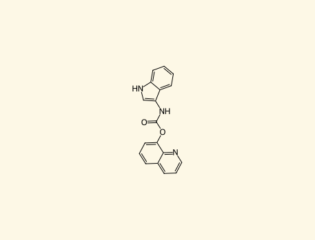 O=C(Nc1c[nH]c2ccccc12)Oc1cccc2cccnc12